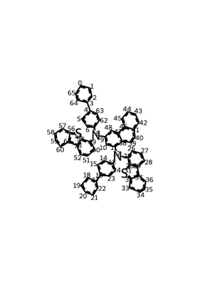 c1ccc(-c2ccc(N(c3cc(N(c4ccc(-c5ccccc5)cc4)c4cccc5c4sc4ccccc45)c4ccc5ccccc5c4c3)c3cccc4c3sc3ccccc34)cc2)cc1